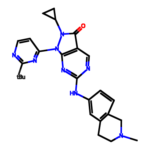 CN1CCc2cc(Nc3ncc4c(=O)n(C5CC5)n(-c5ccnc(C(C)(C)C)n5)c4n3)ccc2C1